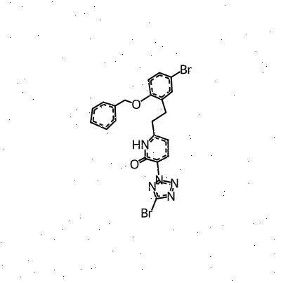 O=c1[nH]c(CCc2cc(Br)ccc2OCc2ccccc2)ccc1-n1nnc(Br)n1